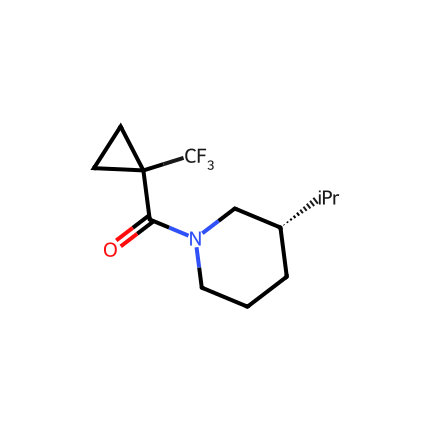 CC(C)[C@@H]1CCCN(C(=O)C2(C(F)(F)F)CC2)C1